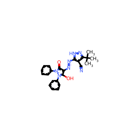 CC(C)(C)c1n[nH]c(/N=N/c2c(O)n(-c3ccccc3)n(-c3ccccc3)c2=O)c1C#N